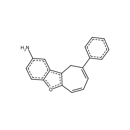 Nc1ccc2oc3c(c2c1)CC(c1ccccc1)=CC=C3